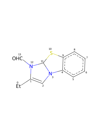 CCC1=CN2c3ccccc3SC2N1C=O